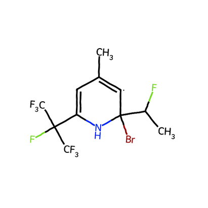 CC1=[C]C(Br)(C(C)F)NC(C(F)(C(F)(F)F)C(F)(F)F)=C1